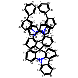 c1ccc(-c2cccc(N(c3ccccc3)c3cccc4c3-c3c(N(c5ccccc5)c5cccc(-c6ccccc6)c5)cccc3C43c4ccccc4-n4c5ccccc5c5cccc3c54)c2)cc1